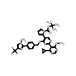 COc1ncnc(C2CC2)c1-c1ncc(-c2cccn2C(=O)OC(C)(C)C)c(OCc2ccc(-c3nc(C(F)(F)F)cn3C)cc2)n1